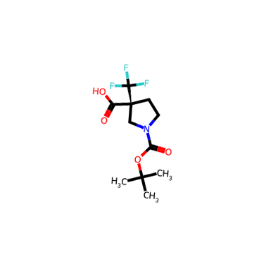 CC(C)(C)OC(=O)N1CC[C@](C(=O)O)(C(F)(F)F)C1